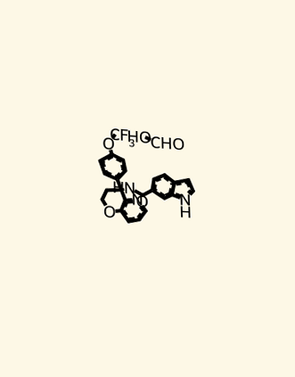 O=C(N[C@]1(c2ccc(OC(F)(F)F)cc2)CCOc2cccnc21)c1ccc2cc[nH]c2c1.O=CO